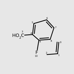 C=CC.O=C(O)c1ccccc1F